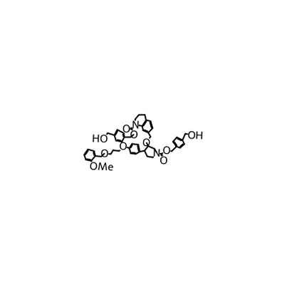 COc1ccccc1COCCCOc1ccc(C2CCN(C(=O)OCc3ccc(CO)cc3)CC2OCc2ccc3c(c2)N(C(=O)OCc2ccc(CO)cc2)CCC3)cc1